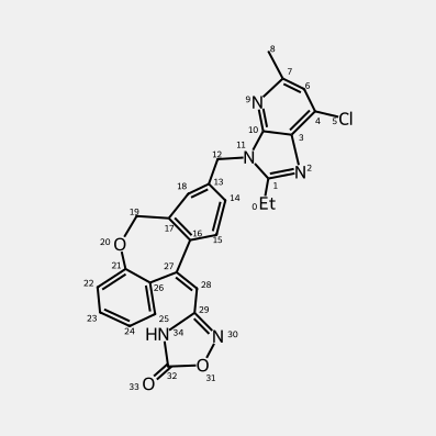 CCc1nc2c(Cl)cc(C)nc2n1Cc1ccc2c(c1)COc1ccccc1/C2=C\c1noc(=O)[nH]1